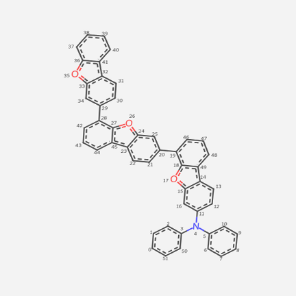 c1ccc(N(c2ccccc2)c2ccc3c(c2)oc2c(-c4ccc5c(c4)oc4c(-c6ccc7c(c6)oc6ccccc67)cccc45)cccc23)cc1